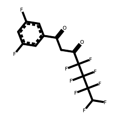 O=C(CC(=O)C(F)(F)C(F)(F)C(F)(F)C(F)F)c1cc(F)cc(F)c1